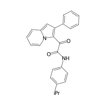 CC(C)c1ccc(NC(=O)C(=O)c2c(-c3ccccc3)cc3ccccn23)cc1